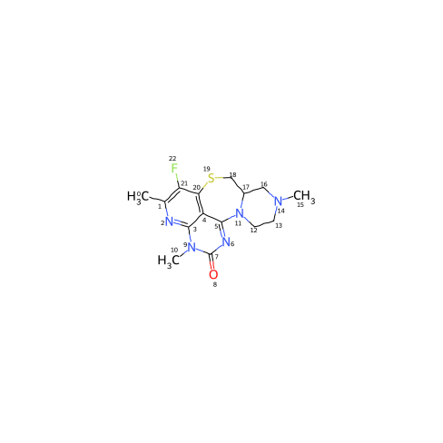 Cc1nc2c3c(nc(=O)n2C)N2CCN(C)CC2CSc3c1F